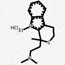 CCn1c2c(c3ccccc31)CCSC2(C)CCN(C)C.Cl